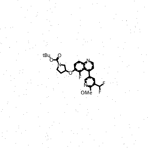 COc1ncc(-c2ccnc3ccc(OC4CCN(C(=O)OC(C)(C)C)C4)c(F)c23)cc1C(F)F